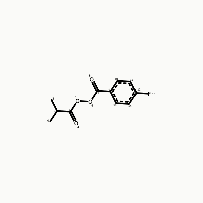 CC(C)C(=O)OOC(=O)c1ccc(F)cc1